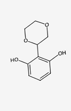 Oc1cccc(O)c1C1COCCO1